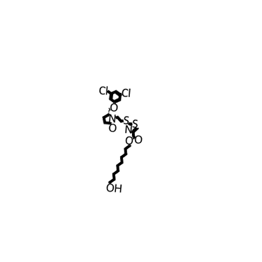 O=C(OCCCCCCCCCCO)c1csc(SCCN2C(=O)CC[C@@H]2COc2cc(Cl)cc(Cl)c2)n1